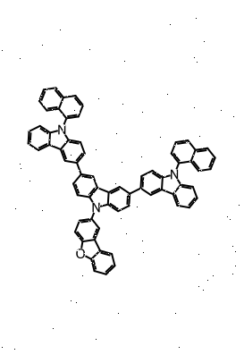 c1ccc2c(-n3c4ccccc4c4cc(-c5ccc6c(c5)c5cc(-c7ccc8c(c7)c7ccccc7n8-c7cccc8ccccc78)ccc5n6-c5ccc6oc7ccccc7c6c5)ccc43)cccc2c1